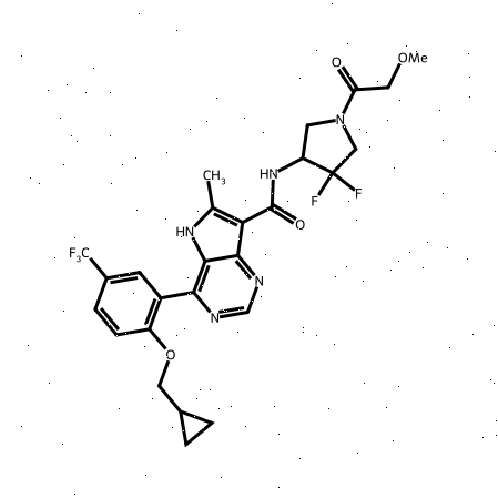 COCC(=O)N1CC(NC(=O)c2c(C)[nH]c3c(-c4cc(C(F)(F)F)ccc4OCC4CC4)ncnc23)C(F)(F)C1